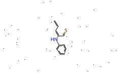 C=C/C=C(\C=S)Nc1ccccc1